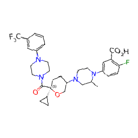 CC1CN(C2CC[C@@](C(=O)N3CCN(c4cccc(C(F)(F)F)c4)CC3)(C3CC3)OC2)CCN1c1ccc(F)c(C(=O)O)c1